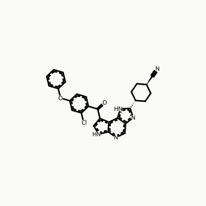 N#C[C@H]1CC[C@H](c2nc3cnc4[nH]cc(C(=O)c5ccc(Oc6ccccc6)cc5Cl)c4c3[nH]2)CC1